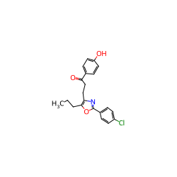 CCCc1oc(-c2ccc(Cl)cc2)nc1CCC(=O)c1ccc(O)cc1